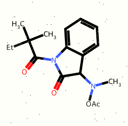 CCC(C)(C)C(=O)N1C(=O)C(N(C)OC(C)=O)c2ccccc21